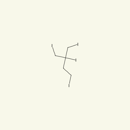 ICCC(I)(CI)CI